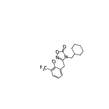 O=c1onc(Cc2cccc(C(F)(F)F)c2Cl)n1CC1CCCCC1